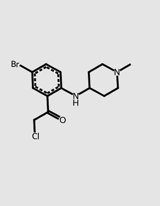 CN1CCC(Nc2ccc(Br)cc2C(=O)CCl)CC1